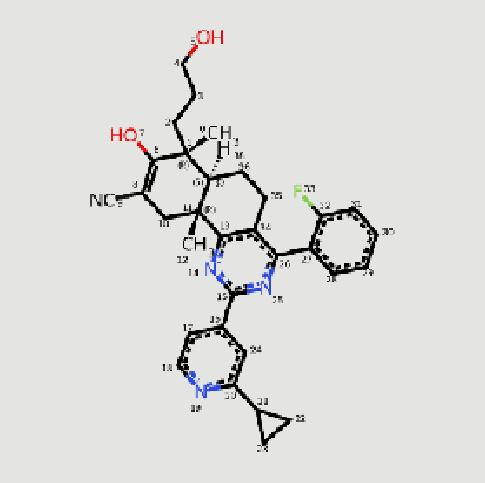 C[C@]1(CCCO)C(O)=C(C#N)C[C@@]2(C)c3nc(-c4ccnc(C5CC5)c4)nc(-c4ccccc4F)c3CC[C@H]12